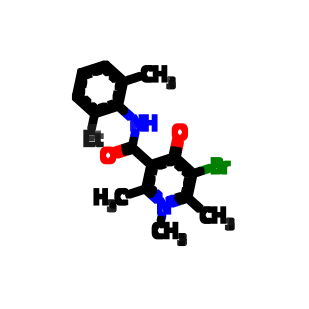 CCc1cccc(C)c1NC(=O)c1c(C)n(C)c(C)c(Br)c1=O